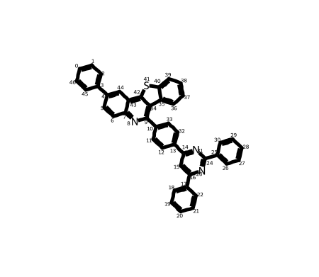 c1ccc(-c2ccc3nc(-c4ccc(-c5cc(-c6ccccc6)nc(-c6ccccc6)n5)cc4)c4c5ccccc5sc4c3c2)cc1